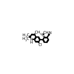 COc1c(C#N)cccc1-c1cc2c(cc1Cl)NC(C)(C)C=C2C